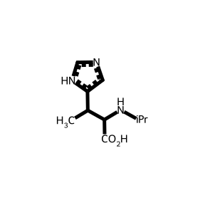 CC(C)NC(C(=O)O)C(C)c1cnc[nH]1